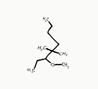 [CH2]CC(OC)C(C)(C)CCCC